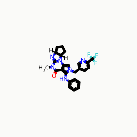 CN1C(=O)c2c(cn(Cc3ccc(C(F)(F)F)nc3)c2Nc2ccccc2)N2C1=N[C@@H]1CCC[C@@H]12